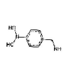 [NH]Cc1ccc(N(O)O)cc1